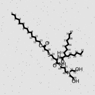 CCCCCCCCCCCCCCOC(=O)CCSCCC(NC(=O)C(CCCCCC)CCCCCCCC)C(=O)NCCCN(CCO)CCO